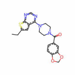 CCc1cc2c(N3CCN(C(=O)c4ccc5c(c4)OCO5)CC3)ncnc2s1